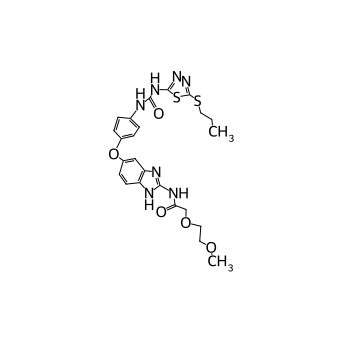 CCCSc1nnc(NC(=O)Nc2ccc(Oc3ccc4[nH]c(NC(=O)COCCOC)nc4c3)cc2)s1